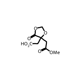 COC(=O)CC1(CC(=O)O)OCOC1=O